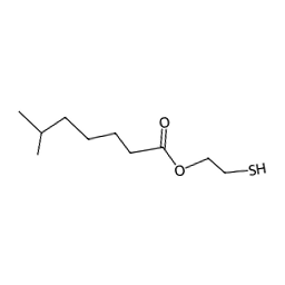 CC(C)CCCCC(=O)OCCS